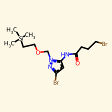 C[Si](C)(C)CCOCn1nc(Br)cc1NC(=O)CCCBr